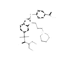 CNC(=O)c1ccc(Nc2nc3ccc(C(C)(C)C(=O)C(CC(C)C)CC(C)C)cc3n2CCCN2CCCCC2)cc1